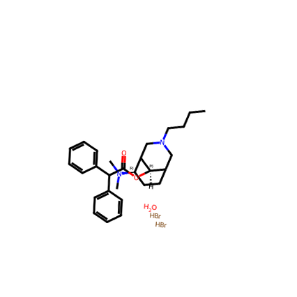 Br.Br.CCCCN1CC2CC[C@@H](N(C)C)C(C1)[C@@H]2OC(=O)C(c1ccccc1)c1ccccc1.O